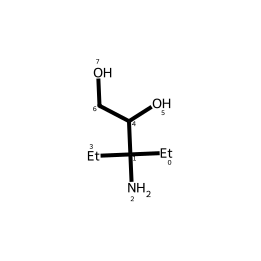 CCC(N)(CC)C(O)CO